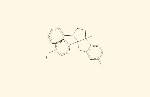 COc1ccc(C23Oc4cc(Cl)cnc4C2(O)CCC3c2ccccc2)cc1